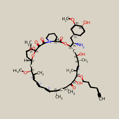 C#CCCCCO[C@@H]1/C(C)=C/[C@@H](C)[C@H](O)C[C@@H]([C@H](N)C[C@@H]2CC[C@@H](O)[C@H](OC)C2)OC(=O)[C@@H]2CCCCN2C(=O)C(=O)[C@]2(O)O[C@@H](CC[C@H]2C)C[C@H](OC)/C(C)=C/C=C/C=C/[C@@H](C)C[C@@H](C)C(=O)[C@@H]1O